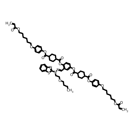 C=CC(=O)OCCCCCCOc1ccc(OC(=O)C2CCC(C(=O)Oc3ccc(OC(=O)C4CCC(C(=O)Oc5ccc(OCCCCCCOC(=O)C=C)cc5)CC4)c(/C=N/N(CCOCCCC)c4nc5ccccc5s4)c3)CC2)cc1